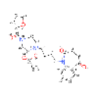 O=C1CCC(=O)N(CCCC[N+]2(OC(=O)C(F)(F)F)CCN(C(=O)C3CCCO3)CC2)c2ccccc21